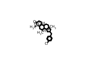 CC1CC2N(C)C(=O)CC[C@]2(C)[C@@H]2CC[C@]3(C)CC(Cc4ccc(Cl)cc4)C[C@H]3[C@H]12